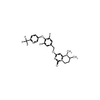 CC1CCn2c(cc(OCc3cc(F)c(Oc4ccc(C(F)(F)F)nc4)c(F)c3)nc2=O)N1C